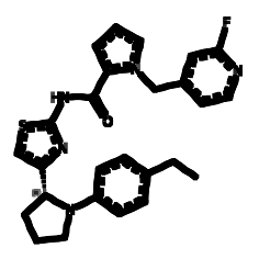 CCc1ccc(N2CCC[C@@H]2c2csc(NC(=O)c3cccn3Cc3ccnc(F)c3)n2)cc1